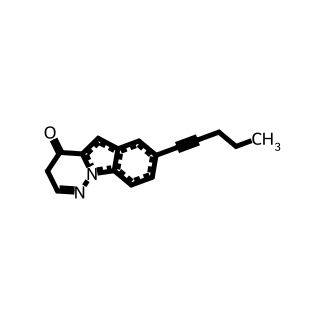 CCCC#Cc1ccc2c(c1)cc1n2N=CCC1=O